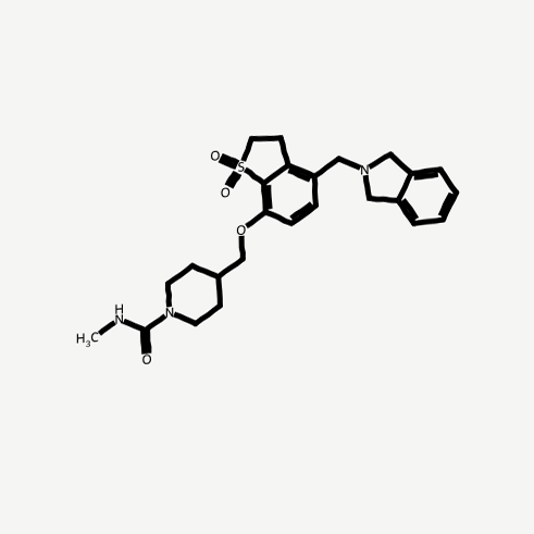 CNC(=O)N1CCC(COc2ccc(CN3Cc4ccccc4C3)c3c2S(=O)(=O)CC3)CC1